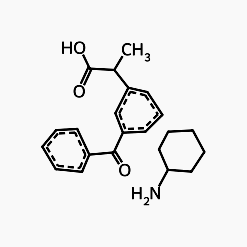 CC(C(=O)O)c1cccc(C(=O)c2ccccc2)c1.NC1CCCCC1